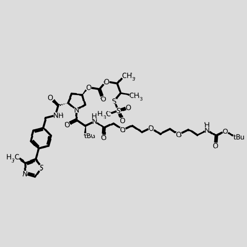 Cc1ncsc1-c1ccc(CNC(=O)[C@@H]2C[C@@H](OC(=O)OC(C)C(C)SS(C)(=O)=O)CN2C(=O)[C@@H](NC(=O)COCCOCCOCCNC(=O)OC(C)(C)C)C(C)(C)C)cc1